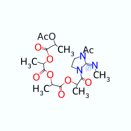 C/N=C1/N(C(C)=O)CCN1C(=O)C(C)OC(=O)C(C)OC(=O)C(C)OC(=O)C(C)OC(C)=O